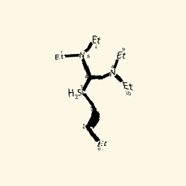 CCC=C[SiH2]C(N(CC)CC)N(CC)CC